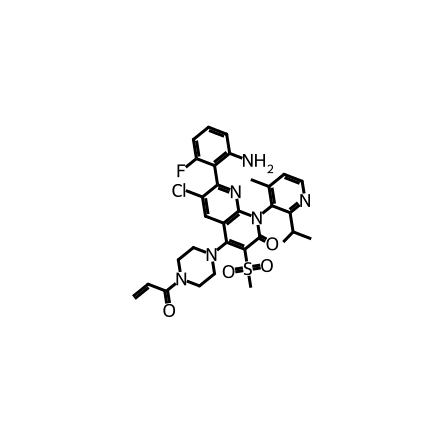 C=CC(=O)N1CCN(c2c(S(C)(=O)=O)c(=O)n(-c3c(C)ccnc3C(C)C)c3nc(-c4c(N)cccc4F)c(Cl)cc23)CC1